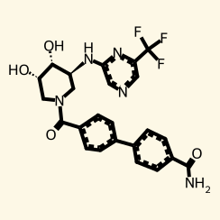 NC(=O)c1ccc(-c2ccc(C(=O)N3C[C@H](Nc4cncc(C(F)(F)F)n4)[C@@H](O)[C@@H](O)C3)cc2)cc1